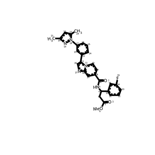 COC(=O)CC(NC(=O)c1ccn2c(-c3cccc(-n4nc(C)cc4C)c3)cnc2c1)c1cccc(F)c1